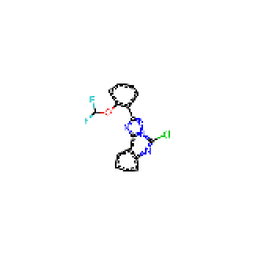 FC(F)Oc1ccccc1-c1nc2c3ccccc3nc(Cl)n2n1